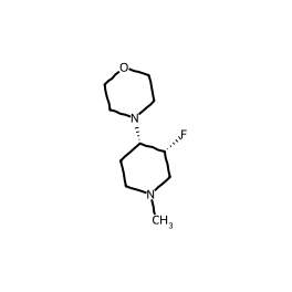 CN1CC[C@H](N2CCOCC2)[C@H](F)C1